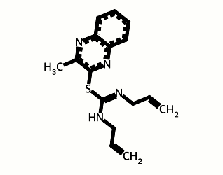 C=CCN=C(NCC=C)Sc1nc2ccccc2nc1C